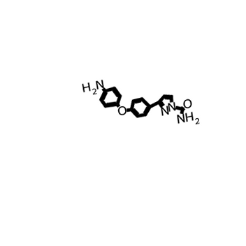 NC(=O)n1ccc(-c2ccc(Oc3ccc(N)cc3)cc2)n1